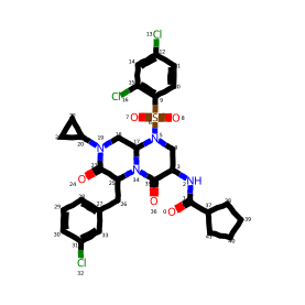 O=C(NC1CN(S(=O)(=O)c2ccc(Cl)cc2Cl)C2CN(C3CC3)C(=O)C(Cc3cccc(Cl)c3)N2C1=O)C1CCCC1